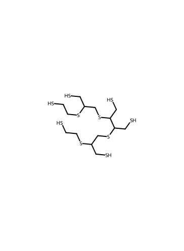 SCCSC(CS)CSC(CS)C(CS)SCC(CS)SCCS